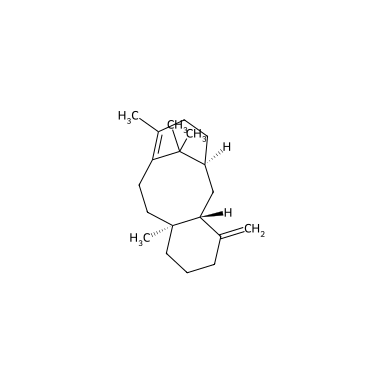 C=C1CCC[C@@]2(C)CCC3=C(C)CC[C@@H](C[C@H]12)C3(C)C